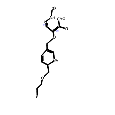 CC(C)(C)N/N=C\C(OCC1=CNC(COCCF)C=C1)=C(\Cl)C=O